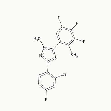 Cc1c(-c2nc(-c3ccc(F)cc3Cl)nn2C)cc(F)c(F)c1F